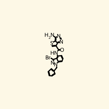 Nc1ncnc2c(C(=O)Nc3cccc4c3c(Br)nn4Cc3ccccc3)csc12